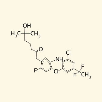 CC(C)(O)CCCC(=O)Cc1cc(Nc2c(Cl)cc(C(C)(F)F)cc2Cl)ccc1F